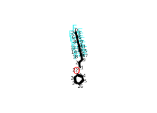 FC(F)(F)C(F)(F)C(F)(F)C(F)(F)C(F)(F)C(F)(F)CCCOc1ccccc1